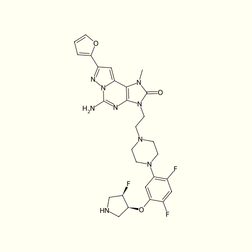 Cn1c(=O)n(CCN2CCN(c3cc(O[C@H]4CNC[C@H]4F)c(F)cc3F)CC2)c2nc(N)n3nc(-c4ccco4)cc3c21